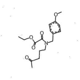 CCOC(=O)C(=O)N(CCCC(C)=O)Cc1ccc(OC)cc1